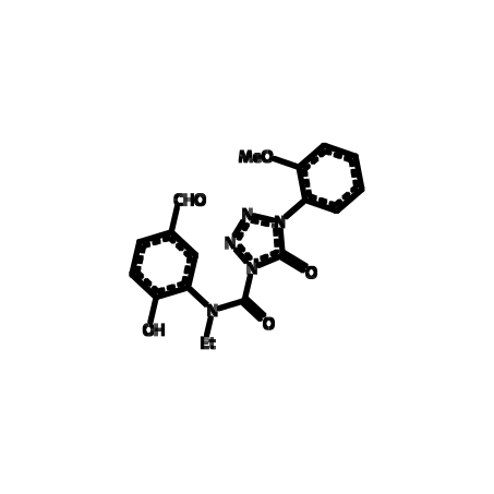 CCN(C(=O)n1nnn(-c2ccccc2OC)c1=O)c1cc(C=O)ccc1O